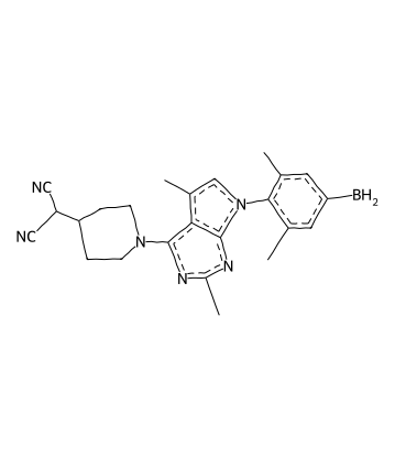 Bc1cc(C)c(-n2cc(C)c3c(N4CCC(C(C#N)C#N)CC4)nc(C)nc32)c(C)c1